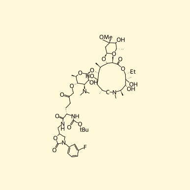 CC[C@H]1OC(=O)[C@H](C)[C@@H](O[C@H]2C[C@@](C)(OC)[C@@H](O)[C@H](C)O2)[C@H](C)[C@@H](O[C@@H]2O[C@H](C)[C@@H](OCC(=O)CC[C@H](NC(=O)OC(C)(C)C)C(=O)NCC3CN(c4cccc(F)c4)C(=O)O3)[C@H](N(C)C)[C@H]2O)[C@](C)(O)C[C@@H](C)CN(C)[C@H](C)[C@@H](O)[C@]1(C)O